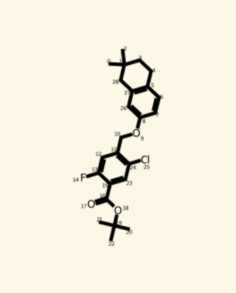 CC1(C)CCc2ccc(OCc3cc(F)c(C(=O)OC(C)(C)C)cc3Cl)cc2C1